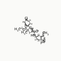 CCOC(=O)C1(C)CN(C(=O)Nc2ccc(C(F)(F)F)c(SC)c2)N=C1c1ccc(Cl)cc1